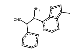 Cc1csc2c(N(N)C(C=O)c3ccccc3)ncnc12